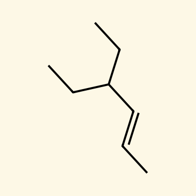 C/C=C/C(CC)CC